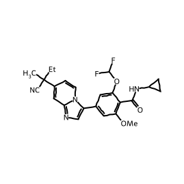 CCC(C)(C#N)c1ccn2c(-c3cc(OC)c(C(=O)NC4CC4)c(OC(F)F)c3)cnc2c1